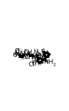 Cc1cccc2c(N)c3cccc(C(=O)NCCC[N+](C)(C)c4ccc([N+](=O)[O-])s4)c3nc12.[Cl-]